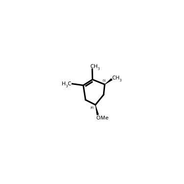 CO[C@H]1CC(C)=C(C)[C@@H](C)C1